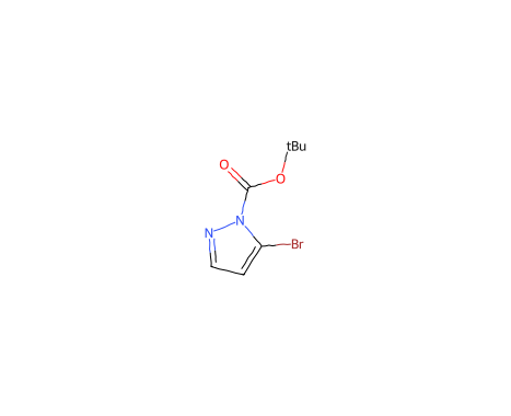 CC(C)(C)OC(=O)n1nccc1Br